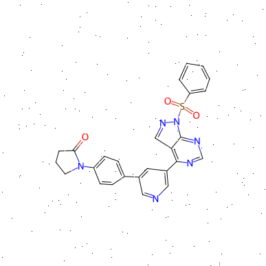 O=C1CCCN1c1ccc(-c2cncc(-c3ncnc4c3cnn4S(=O)(=O)c3ccccc3)c2)cc1